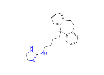 CC1(CCCCNC2=NCCN2)c2ccccc2CCc2ccccc21